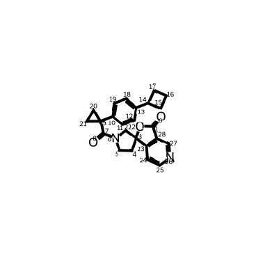 O=C1OC2(CCN(C(=O)C3(c4ccc(C5CCC5)cc4)CC3)C2)c2ccncc21